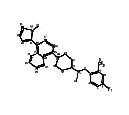 CN(Cc1ccc(F)cc1C(F)(F)F)C1CCN(c2nnc(-c3ccnn3C)c3ccncc23)CC1